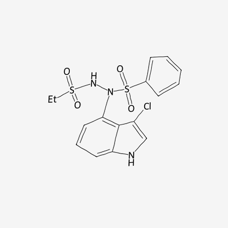 CCS(=O)(=O)NN(c1cccc2[nH]cc(Cl)c12)S(=O)(=O)c1ccccc1